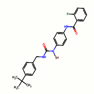 CC(C)(C)c1ccc(CNC(=O)N(S)c2ccc(NC(=O)c3ccccc3F)cc2)cc1